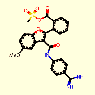 COc1ccc2oc(-c3ccccc3C(=O)OS(C)(=O)=O)c(C(=O)Nc3ccc(C(=N)N)cc3)c2c1